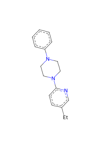 CCc1ccc(N2CCN(c3ccccc3)CC2)nc1